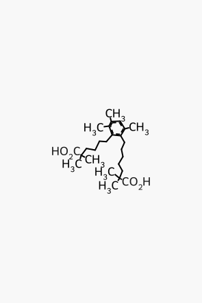 Cc1cc(C)c(CCCCCC(C)(C)C(=O)O)c(CCCCC(C)(C)C(=O)O)c1C